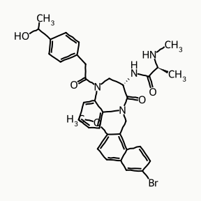 CN[C@@H](C)C(=O)N[C@H]1CN(C(=O)Cc2ccc(C(C)O)cc2)c2ccccc2N(Cc2c(OC)ccc3cc(Br)ccc23)C1=O